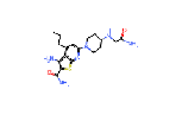 CCCc1cc(N2CCC(NCC(N)=O)CC2)nc2sc(C(N)=O)c(N)c12